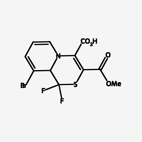 COC(=O)C1=C(C(=O)O)N2C=CC=C(Br)C2C(F)(F)S1